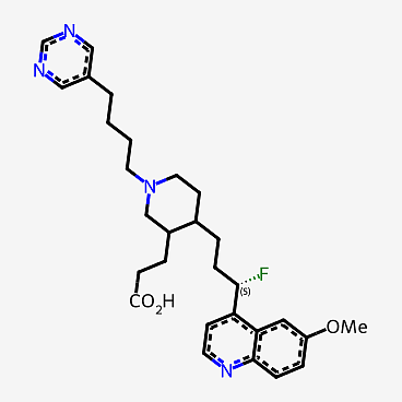 COc1ccc2nccc([C@@H](F)CCC3CCN(CCCCc4cncnc4)CC3CCC(=O)O)c2c1